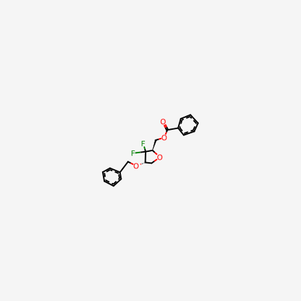 O=C(OC[C@H]1OC[C@H](OCc2ccccc2)C1(F)F)c1ccccc1